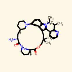 CCn1c(-c2cccnc2C(C)C)c2c3cc(ccc31)N1CCC[C@@H](C[C@H](N)C(=O)N3CCC[C@H](N3)C(=O)OCC(C)(C)C2)C1